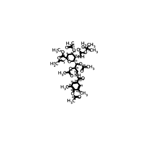 C=CC[C@]1(C(=O)OC)C[C@H](OC(C)=O)[C@@H](NC(=O)OC(C)(C)C)[C@H](C(OC(C)=O)C(CNC(=O)c2cc(C)c(OC(C)=O)c(C)c2)OC(C)=O)O1